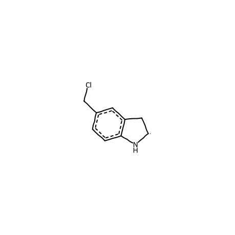 ClCc1ccc2c(c1)C[CH]N2